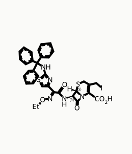 CCON=C(C(=O)N[C@@H]1C(=O)N2C(C(=O)O)=C(CI)CS[C@@H]12)c1csc(NC(c2ccccc2)(c2ccccc2)c2ccccc2)n1